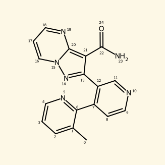 Cc1cccnc1-c1ccncc1-c1nn2cccnc2c1C(N)=O